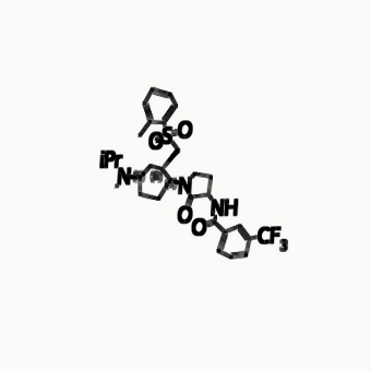 Cc1ccccc1S(=O)(=O)C[C@@H]1C[C@H](N(C)C(C)C)CC[C@@H]1N1CCC(NC(=O)c2cccc(C(F)(F)F)c2)C1=O